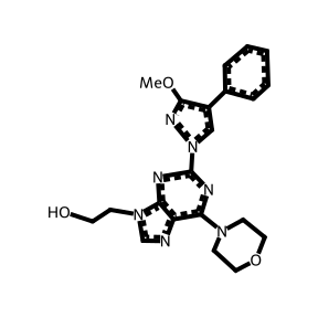 COc1nn(-c2nc(N3CCOCC3)c3ncn(CCO)c3n2)cc1-c1ccccc1